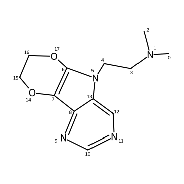 CN(C)CCn1c2c(c3ncncc31)OCCO2